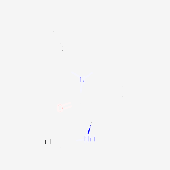 O=C(O)N[C@@H]1CCCCN(CC2CC2)C1=O